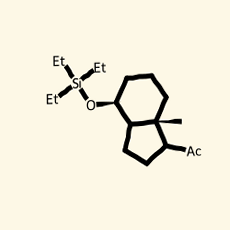 CC[Si](CC)(CC)O[C@H]1CCC[C@]2(C)C(C(C)=O)CCC12